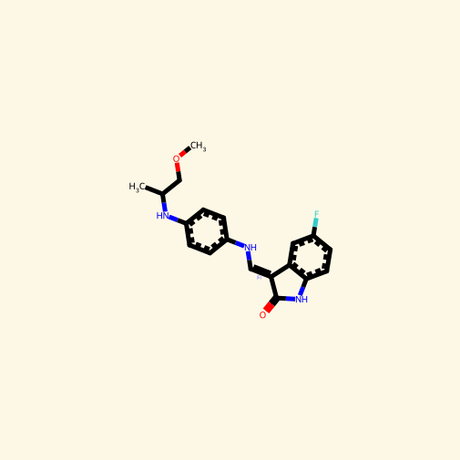 COCC(C)Nc1ccc(N/C=C2/C(=O)Nc3ccc(F)cc32)cc1